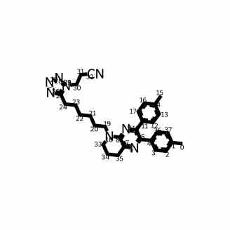 Cc1ccc(-c2nc3c(nc2-c2ccc(C)cc2)N(CCCCCCc2nnnn2CCC#N)CCC3)cc1